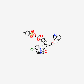 COC(=O)C1(Nc2cccc(Cl)c2)CCC2(CC1)c1cc3c(cc1C[C@@H]2C[C@@H](C)COc1ccnc2c1[C@H](C)CCC2)OC[C@H](COS(=O)(=O)c1ccc(C)cc1)O3